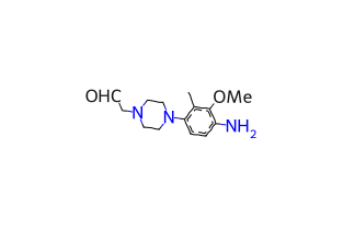 COc1c(N)ccc(N2CCN(CC=O)CC2)c1C